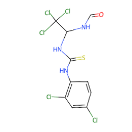 O=CNC(NC(=S)Nc1ccc(Cl)cc1Cl)C(Cl)(Cl)Cl